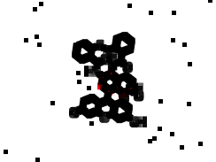 O=C(Nc1ccc(-c2c3ccc(=O)cc-3oc3cc(O)ccc23)c(C(=O)O)c1)c1ccccc1SSc1ccccc1C(=O)Nc1ccc2oc(=O)ccc2c1